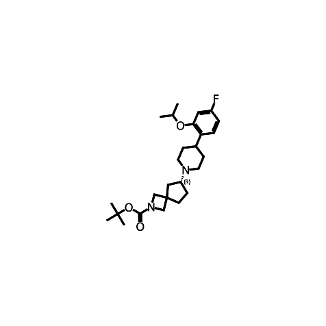 CC(C)Oc1cc(F)ccc1C1CCN([C@@H]2CCC3(C2)CN(C(=O)OC(C)(C)C)C3)CC1